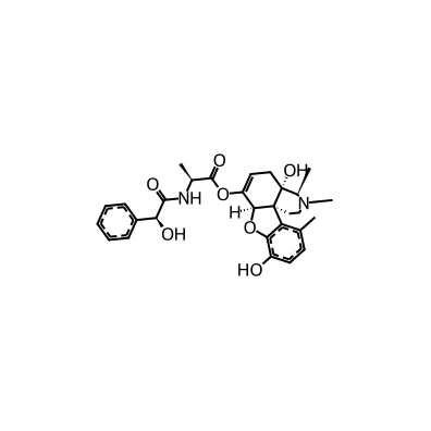 Cc1ccc(O)c2c1[C@]13CCN(C)[C@H](C)[C@]1(O)CC=C(OC(=O)[C@H](C)NC(=O)[C@@H](O)c1ccccc1)[C@@H]3O2